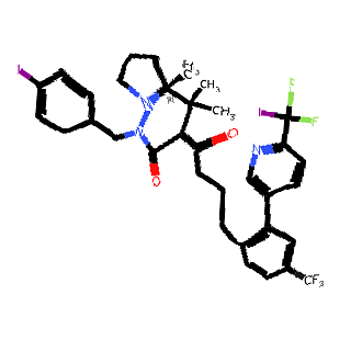 CC1(C)C(C(=O)CCCc2ccc(C(F)(F)F)cc2-c2ccc(C(F)(F)I)nc2)C(=O)N(CC2C=CC(I)=CC2)N2CCC[C@@]21C